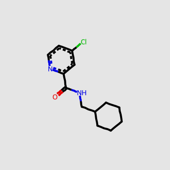 O=C(NCC1CCCCC1)c1cc(Cl)ccn1